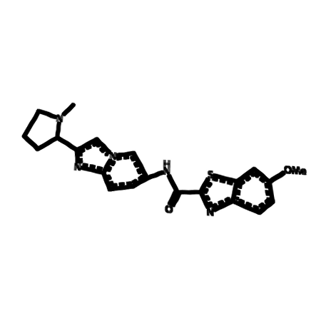 COc1ccc2nc(C(=O)Nc3ccc4nc(C5CCCN5C)cn4c3)sc2c1